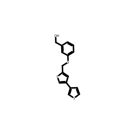 OCc1cccc(SCc2cc(-c3ccsc3)cs2)c1